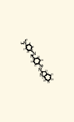 CN(C)c1ccc(N=Nc2ccc(N=NC3=Nc4ccccc4C3)cc2)cc1